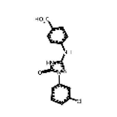 O=C(O)c1ccc(Nc2nn(-c3cccc(Cl)c3)c(=O)[nH]2)cc1